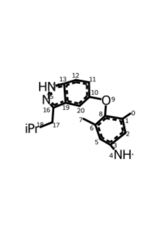 Cc1cc([NH])cc(C)c1Oc1ccc2[nH]nc(CC(C)C)c2c1